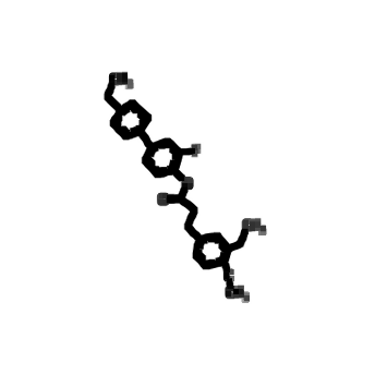 CCc1ccc(-c2ccc(OC(=O)CCc3ccc(CC)c(CC)c3)c(F)c2)cc1